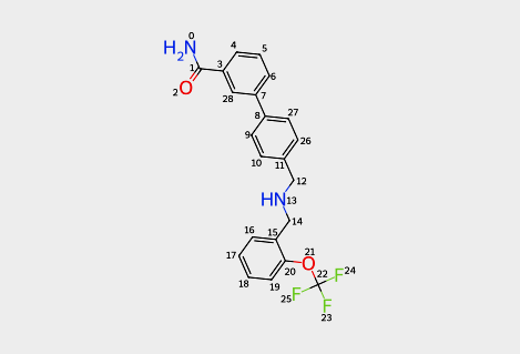 NC(=O)c1cccc(-c2ccc(CNCc3ccccc3OC(F)(F)F)cc2)c1